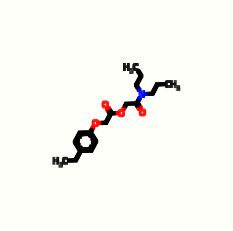 CCCN(CCC)C(=O)COC(=O)COc1ccc(CC)cc1